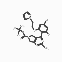 CC(C)(C)OC(=O)N1Cc2nc(N)nc(-c3c(Cl)cc(Cl)cc3OCCn3cccn3)c2C1